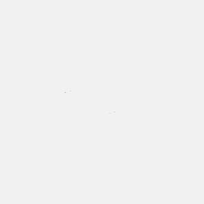 CCCCC[CH2][Sn+]([CH2]CCCCC)[CH2]CCCCC.CCCCC[CH2][Sn+]([CH2]CCCCC)[CH2]CCCCC.[O-2]